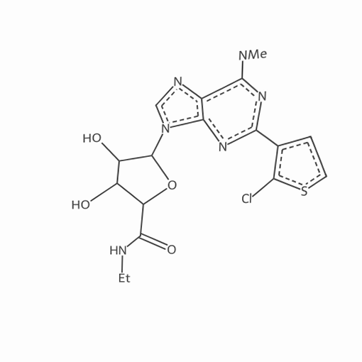 CCNC(=O)C1OC(n2cnc3c(NC)nc(-c4ccsc4Cl)nc32)C(O)C1O